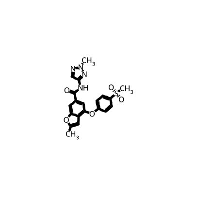 Cc1cc2c(Oc3ccc(S(C)(=O)=O)cc3)cc(C(=O)Nc3cnn(C)n3)cc2o1